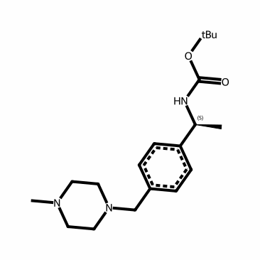 C[C@H](NC(=O)OC(C)(C)C)c1ccc(CN2CCN(C)CC2)cc1